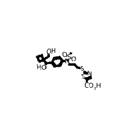 CS(=O)(=O)N(CCCSc1ncc(C(=O)O)s1)c1ccc(C(O)C2(CO)CCC2)cc1